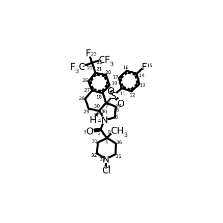 CC1(C(=O)N2CC[C@@]3(S(=O)(=O)c4ccc(F)cc4)c4ccc(C(F)(C(F)(F)F)C(F)(F)F)cc4CC[C@@H]23)CCN(Cl)CC1